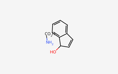 NC(=O)O.OC1C=Cc2ccccc21